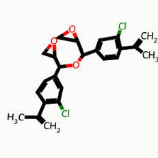 C=C(C)c1ccc(C(OC(c2ccc(C(=C)C)c(Cl)c2)C2CO2)C2CO2)cc1Cl